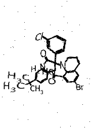 CC(C)(C)c1ccc(CC(C(N)=O)(c2cccc(Cl)c2)N2CCCc3cc(Br)cc(C(=O)O)c32)cc1